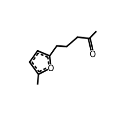 CC(=O)CCCc1ccc(C)o1